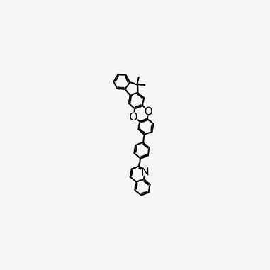 CC1(C)c2ccccc2-c2cc3c(cc21)Oc1ccc(-c2ccc(-c4ccc5ccccc5n4)cc2)cc1O3